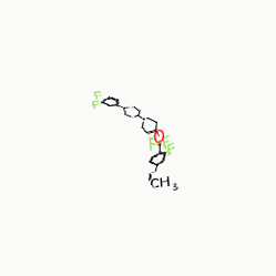 C/C=C\Cc1ccc(C(F)(F)OC2CCC(C3CCC(c4ccc(F)c(F)c4)CC3)CC2)c(F)c1